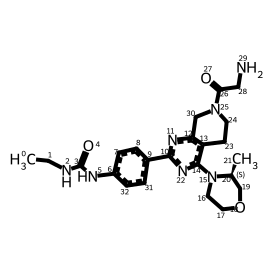 CCNC(=O)Nc1ccc(-c2nc3c(c(N4CCOC[C@@H]4C)n2)CCN(C(=O)CN)C3)cc1